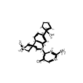 Nc1ncc(Cl)c(N2CC3(CS(=O)(=O)C3)c3ccc(C4(O)CCCC4)cc32)n1